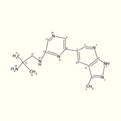 Cc1n[nH]c2ncc(-c3cncc(NCC(C)(C)N)n3)cc12